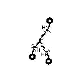 S=C(NCc1ccccc1)SCCSCC(CSC(=S)NCc1ccccc1)SCCSC(=S)NCc1ccccc1